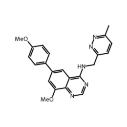 COc1ccc(-c2cc(OC)c3ncnc(NCc4ccc(C)nn4)c3c2)cc1